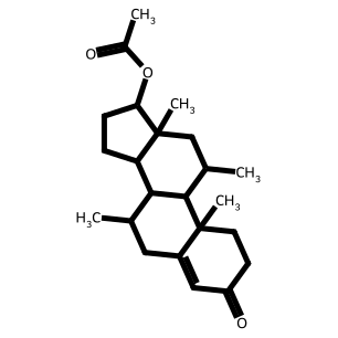 CC(=O)OC1CCC2C3C(C)CC4=CC(=O)CCC4(C)C3C(C)CC12C